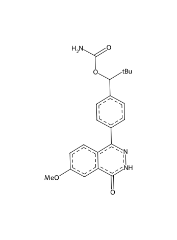 COc1ccc2c(-c3ccc(C(OC(N)=O)C(C)(C)C)cc3)n[nH]c(=O)c2c1